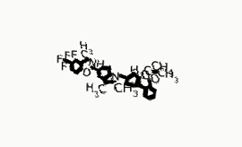 Cc1c(C)n(Cc2ccc(-c3ccccc3C(=O)OC(C)(C)C)cc2)c2ccc(C(=O)N[C@@H](C)c3cccc(C(F)(F)F)c3F)cc12